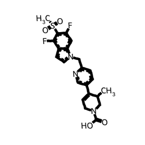 CC1CN(C(=O)O)CC=C1c1ccc(Cn2ccc3c(F)c(S(C)(=O)=O)c(F)cc32)nc1